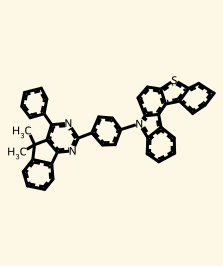 CC1(C)c2ccccc2-c2nc(-c3ccc(-n4c5ccccc5c5c6c(ccc54)sc4ccccc46)cc3)nc(-c3ccccc3)c21